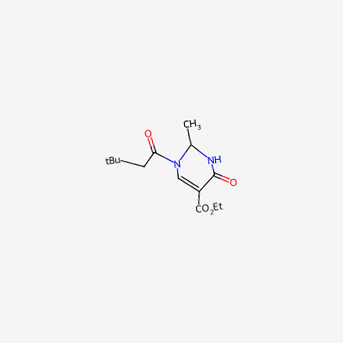 CCOC(=O)C1=CN(C(=O)CC(C)(C)C)C(C)NC1=O